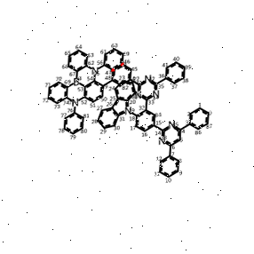 c1ccc(-c2cc(-c3ccccc3)nc(-c3ccc(-n4c5ccccc5c5ccccc54)c(-c4nc(-c5ccccc5)nc(-c5cccc(-c6ccc7c8c6N(c6ccccc6)c6ccccc6B8c6ccccc6N7c6ccccc6)c5)n4)c3)n2)cc1